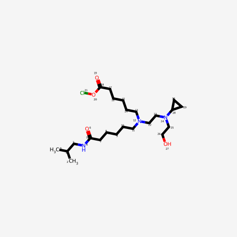 CC(C)CNC(=O)CCCCCN(CCCCCC(=O)OCl)CCN(CCO)C1CC1